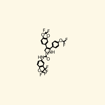 O=C(Nc1ccc2c(c1)C(F)(F)C(F)(F)O2)N1CC(c2ccc3c(c2)OC(F)(F)O3)=C(c2ccc(OC(F)F)cc2)N1